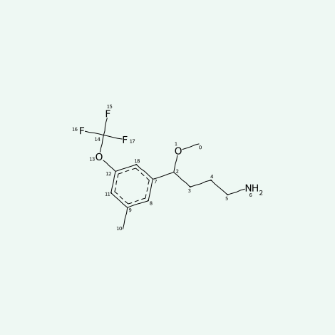 COC(CCCN)c1cc(C)cc(OC(F)(F)F)c1